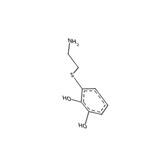 NCCSc1cccc(O)c1O